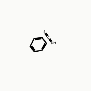 N=C=S.c1ccccc1